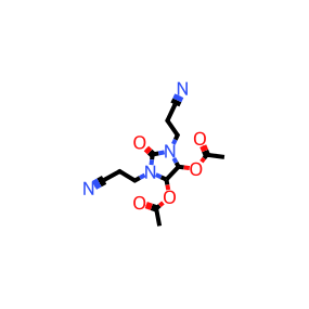 CC(=O)OC1C(OC(C)=O)N(CCC#N)C(=O)N1CCC#N